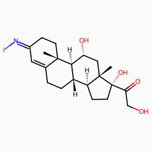 C[C@]12CC/C(=N/I)C=C1CC[C@@H]1[C@@H]2[C@H](O)C[C@@]2(C)[C@H]1CC[C@]2(O)C(=O)CO